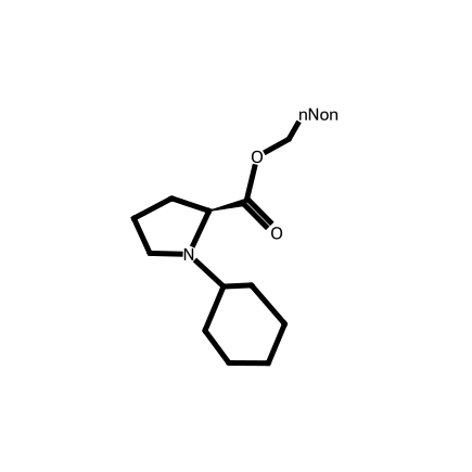 CCCCCCCCCCOC(=O)[C@@H]1CCCN1C1CCCCC1